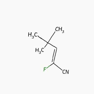 CC(C)(C)/C=C(\F)C#N